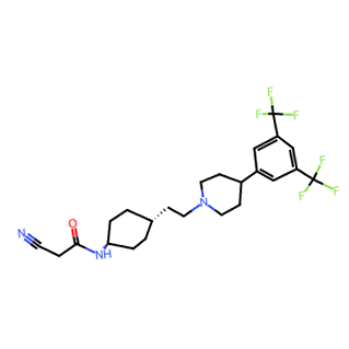 N#CCC(=O)N[C@H]1CC[C@H](CCN2CCC(c3cc(C(F)(F)F)cc(C(F)(F)F)c3)CC2)CC1